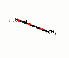 CCCCCCCCCCCCCCCCCCCCCCCCCCCCCCCCCCC(=O)CCCCCCCCCCC